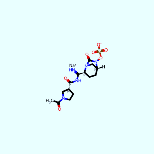 CC(=O)N1CC[C@@H](C(=O)NC(=N)[C@@H]2CC[C@@H]3CN2C(=O)N3OS(=O)(=O)[O-])C1.[Na+]